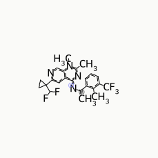 Cc1c([C@@H](C)/N=c2\nc(C)n(C)c3cnc(C4(C(F)F)CC4)cc23)cccc1C(F)(F)F